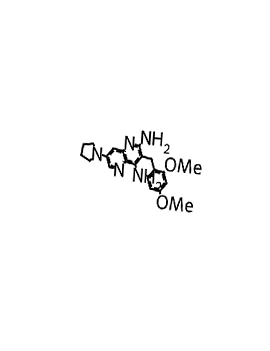 COc1ccc(Cc2c(N)nc3cc(N4CCCC4)cnc3c2N)c(OC)c1